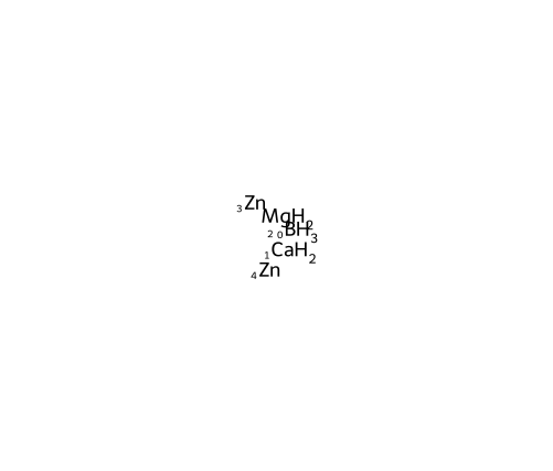 B.[CaH2].[MgH2].[Zn].[Zn]